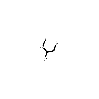 CC(=O)OC(CC(C)C)OC(C)C